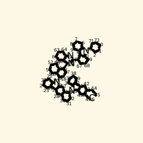 c1ccc(-n2c3ccccc3c3c(-c4nc(-c5ccc(-n6c7ccccc7c7cc8cccc(-n9c%10ccccc%10c%10cc%11ccccc%11cc%109)c8cc76)c6ccccc56)c5ccccc5n4)cccc32)cc1